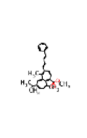 COC(=O)C1=C2C(C)=CC=C(C(C)C)C=C2C(C)=C(C=CC=Cc2ccccc2)C=C1